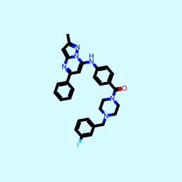 Cc1cc2nc(-c3ccccc3)cc(Nc3ccc(C(=O)N4CCN(Cc5cccc(F)c5)CC4)cc3)n2n1